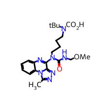 COCNC(=O)N(CCCCN(C(=O)O)C(C)(C)C)c1nc2ccccc2n2c(C)nnc12